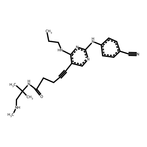 CCCNc1nc(Nc2ccc(C#N)cc2)ncc1C#CCCC(=O)NC(C)(C)CNC